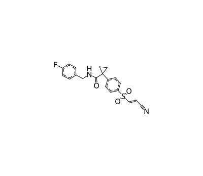 N#CC=CS(=O)(=O)c1ccc(C2(C(=O)NCc3ccc(F)cc3)CC2)cc1